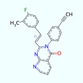 C#Cc1ccc(-n2c(/C=C/c3ccc(F)c(C)c3)nc3ncccc3c2=O)cc1